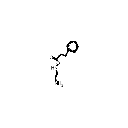 NCCNOC(=O)CCc1ccccc1